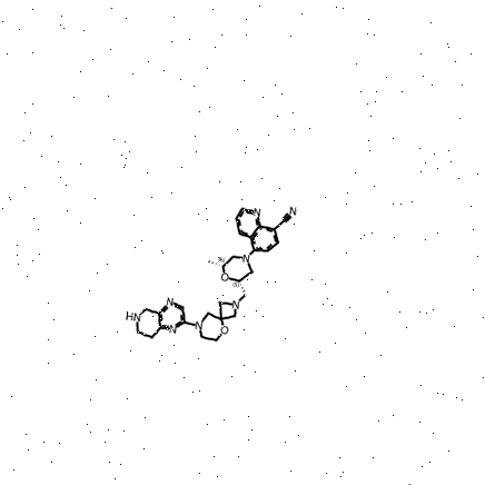 C[C@@H]1CN(c2ccc(C#N)c3ncccc23)C[C@H](CN2CC3(C2)CN(c2cnc4c(n2)CCNC4)CCO3)O1